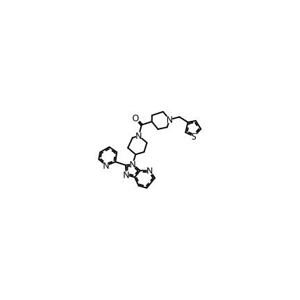 O=C(C1CCN(Cc2ccsc2)CC1)N1CCC(n2c(-c3ccccn3)nc3cccnc32)CC1